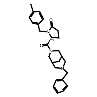 Cc1ccc(CN2C(=O)CC[C@H]2C(=O)N2CC3CC(CN(Cc4ccccc4)C3)C2)cc1